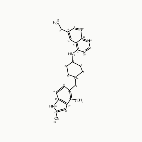 Cc1c(CN2CCC(Nc3ncnc4ncc(CC(F)(F)F)cc34)CC2)ccc2[nH]c(C#N)cc12